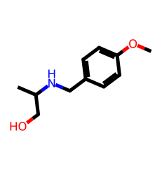 COc1ccc(CNC(C)CO)cc1